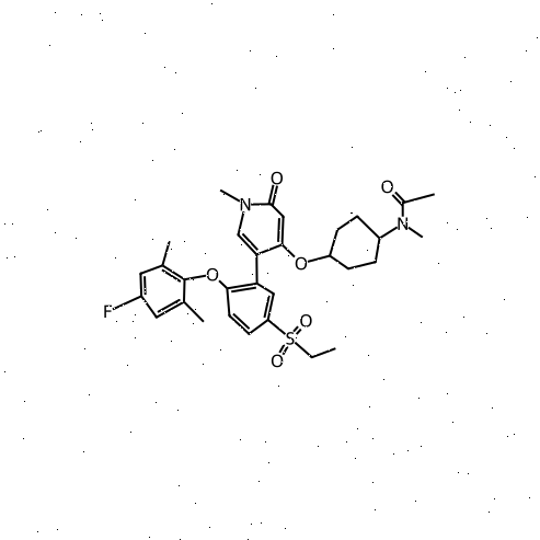 CCS(=O)(=O)c1ccc(Oc2c(C)cc(F)cc2C)c(-c2cn(C)c(=O)cc2OC2CCC(N(C)C(C)=O)CC2)c1